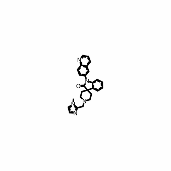 Cn1ccnc1CN1CCC2(CC1)C(=O)N(c1ccc3ncccc3c1)c1ccccc12